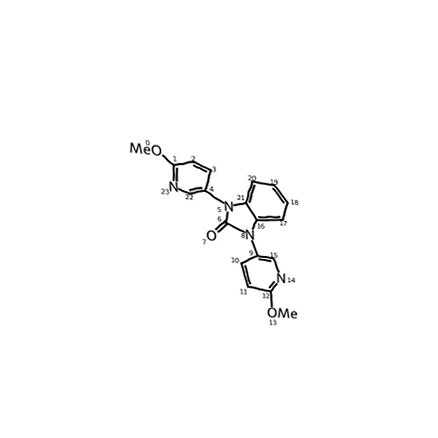 COc1ccc(-n2c(=O)n(-c3ccc(OC)nc3)c3ccccc32)cn1